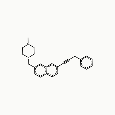 CN1CCN(Cc2ccc3ccc(C#CCc4ccccc4)cc3c2)CC1